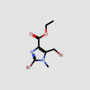 CCOC(=O)c1nc(Br)n(C)c1CBr